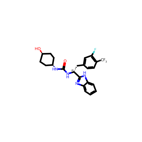 O=C(N[C@H](Cc1ccc(C(F)(F)F)c(F)c1)c1nc2ccccc2[nH]1)N[C@H]1CC[C@H](O)CC1